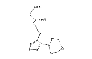 NC[C@H](O)COc1nsnc1N1CCOCC1